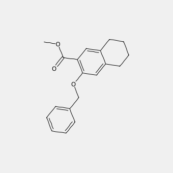 COC(=O)c1cc2c(cc1OCc1ccccc1)CCCC2